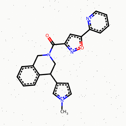 Cn1ccc(C2CN(C(=O)c3cc(-c4ccccn4)on3)Cc3ccccc32)c1